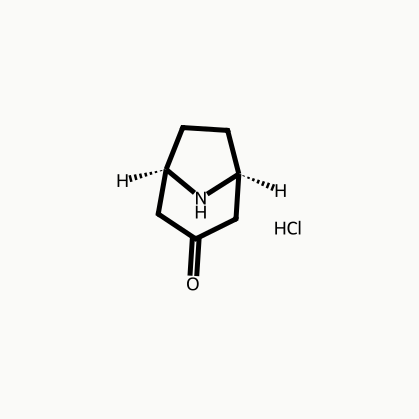 Cl.O=C1C[C@H]2CC[C@@H](C1)N2